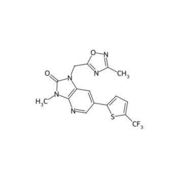 Cc1noc(Cn2c(=O)n(C)c3ncc(-c4ccc(C(F)(F)F)s4)cc32)n1